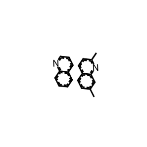 Cc1ccc2ccc(C)nc2c1.c1ccc2ncccc2c1